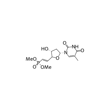 COP(=O)(/C=C/C1O[C@@H](n2cc(C)c(=O)[nH]c2=O)C[C@H]1O)OC